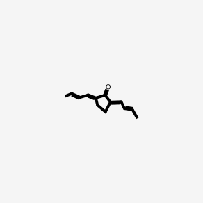 C/C=C/C=C1\CC/C(=C\C=C\C)C1=O